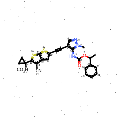 CC(OC(=O)Nc1c(C#Cc2cc3c(C#N)c(C4(C(=O)O)CC4)sc3s2)cnn1C)c1ccccc1